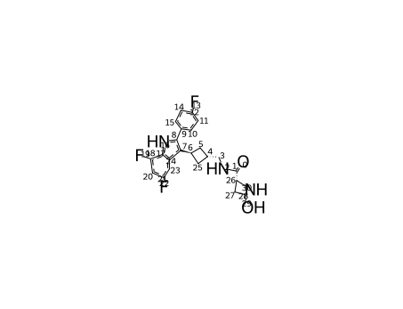 O=C(NC[C@H]1C[C@H](c2c(-c3ccc(F)cc3)[nH]c3c(F)cc(F)cc32)C1)[C@H]1CC(O)N1